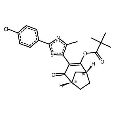 Cc1nc(-c2ccc(Cl)cc2)sc1C1=C(OC(=O)C(C)(C)C)[C@@H]2CC[C@@H](C2)C1=O